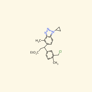 CCOC(=O)CC(c1ccc(C)c(CCl)c1)c1ccc2c(nnn2C2CC2)c1C